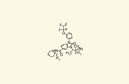 CC(n1c(=O)n(-c2cccc(OC(F)(F)C(F)F)c2)c2ccc(C(=O)NC3(C)CCSCC3)cc21)C(C)(C)O